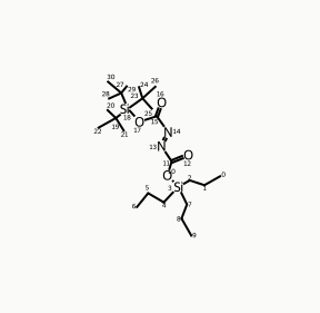 CCC[Si](CCC)(CCC)OC(=O)N=NC(=O)O[Si](C(C)(C)C)(C(C)(C)C)C(C)(C)C